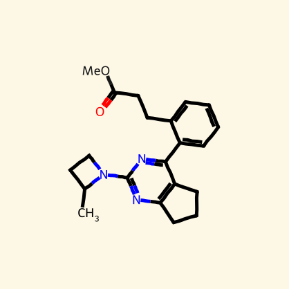 COC(=O)CCc1ccccc1-c1nc(N2CCC2C)nc2c1CCC2